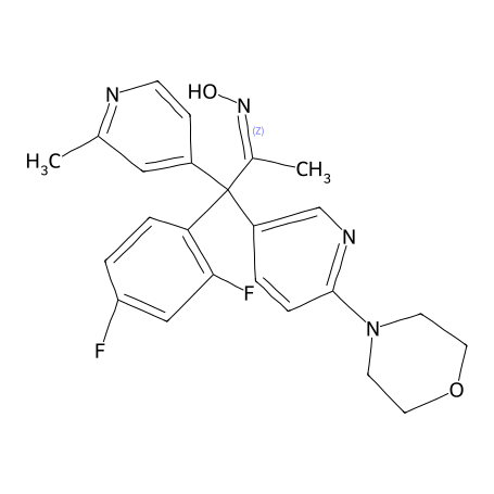 C/C(=N/O)C(c1ccc(N2CCOCC2)nc1)(c1ccnc(C)c1)c1ccc(F)cc1F